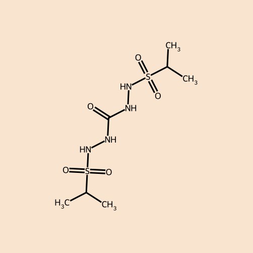 CC(C)S(=O)(=O)NNC(=O)NNS(=O)(=O)C(C)C